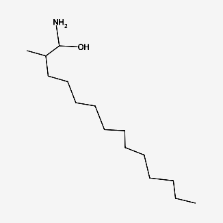 CCCCCCCCCCCCC(C)C(N)O